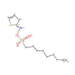 CCCCCCCCS(=O)(=O)O/N=C1/CC=CS1